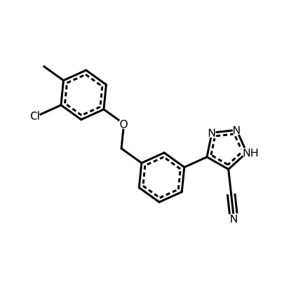 Cc1ccc(OCc2cccc(-c3nn[nH]c3C#N)c2)cc1Cl